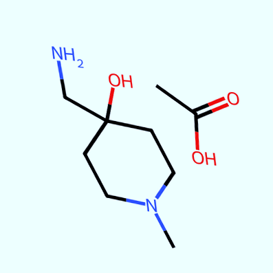 CC(=O)O.CN1CCC(O)(CN)CC1